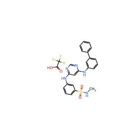 CNS(=O)(=O)c1cccc(Nc2cc(Nc3cccc(-c4ccccc4)c3)ncn2)c1.O=C(O)C(F)(F)F